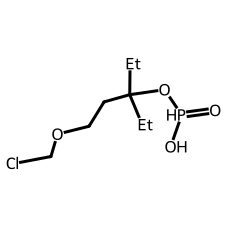 CCC(CC)(CCOCCl)O[PH](=O)O